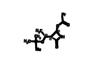 CC(C)C(=O)O[C@H]1NC(=O)[C@@H]1[C@@H](C)O[Si](C)(C)C(C)(C)C